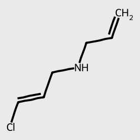 C=CCNCC=CCl